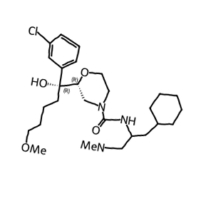 CNCC(CC1CCCCC1)NC(=O)N1CCO[C@@H]([C@@](O)(CCCCOC)c2cccc(Cl)c2)C1